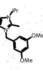 COc1cc(C[n+]2ccn(C(C)C)c2C)cc(OC)c1